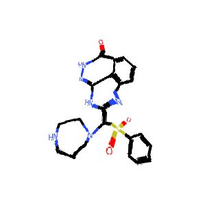 O=c1[nH]nc2c3c(cccc13)N=C(C(N1CCCNCC1)S(=O)(=O)c1ccccc1)N2